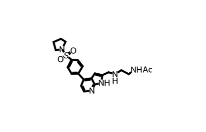 CC(=O)NCCNCc1cc2c(-c3ccc(S(=O)(=O)N4CCCC4)cc3)ccnc2[nH]1